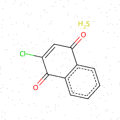 O=C1C=C(Cl)C(=O)c2ccccc21.S